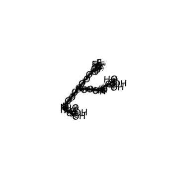 O=C(CCOCCOCCOCCN(CCOCCOCCOCCn1cc(CCO[C@H]2C[C@@H](O)[C@@H](O)[C@@H](CO)O2)nn1)CCOCCOCCOCCn1cc(CCO[C@H]2C[C@@H](O)[C@@H](O)[C@@H](CO)O2)nn1)Oc1c(F)c(F)c(F)c(F)c1F